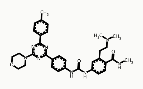 CNC(=O)c1ccc(NC(=O)Nc2ccc(-c3nc(-c4ccc(C)cc4)nc(N4CCOCC4)n3)cc2)cc1CCN(C)C